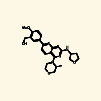 COc1ccc(-c2ccc3c(N4CCOC[C@@H]4C)nc(NC4CCOC4)nc3n2)cc1CO